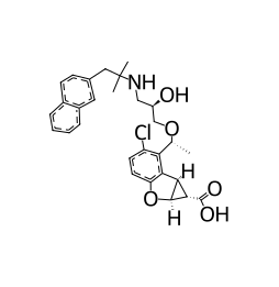 C[C@@H](OC[C@H](O)CNC(C)(C)Cc1ccc2ccccc2c1)c1c(Cl)ccc2c1[C@@H]1[C@H](O2)[C@H]1C(=O)O